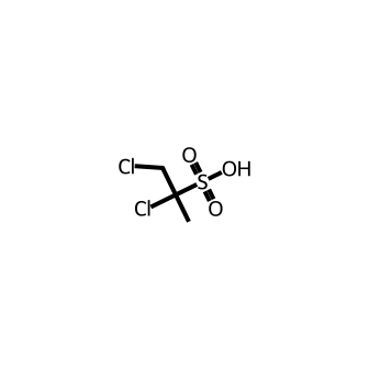 CC(Cl)(CCl)S(=O)(=O)O